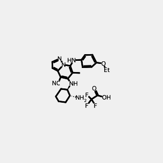 CCOc1ccc(Nc2c(C)c(N[C@@H]3CCCC[C@H]3N)c(C#N)c3ccnn23)cc1.O=C(O)C(F)(F)F